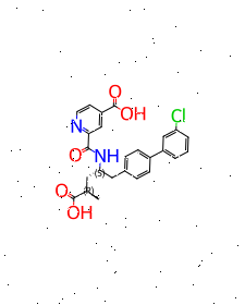 C[C@H](C[C@@H](Cc1ccc(-c2cccc(Cl)c2)cc1)NC(=O)c1cc(C(=O)O)ccn1)C(=O)O